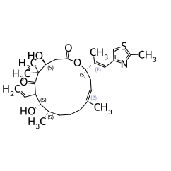 C=CC1C(=O)C(C)(C)[C@@H](O)CC(=O)O[C@H](/C(C)=C/c2csc(C)n2)C/C=C(/C)CCC[C@H](C)[C@@H]1O